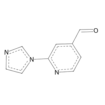 O=Cc1ccnc(-n2ccnc2)c1